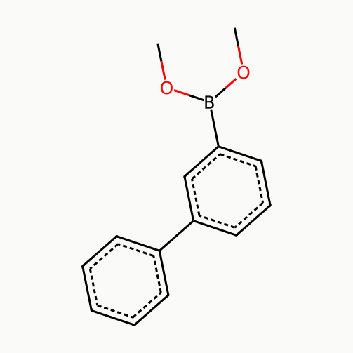 COB(OC)c1cccc(-c2ccccc2)c1